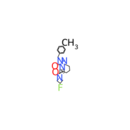 Cc1ccc(Cn2nc3n(c2=O)[C@H](C(=O)N2CC(F)C2)CCC3)cc1